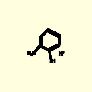 F.Nc1ccccc1S